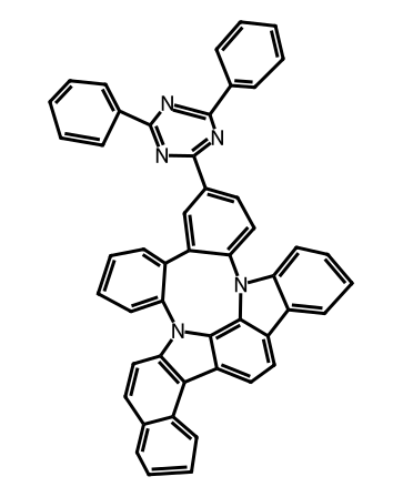 c1ccc(-c2nc(-c3ccccc3)nc(-c3ccc4c(c3)c3ccccc3n3c5ccc6ccccc6c5c5ccc6c7ccccc7n4c6c53)n2)cc1